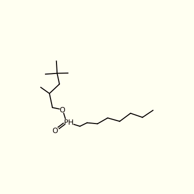 CCCCCCCC[PH](=O)OCC(C)CC(C)(C)C